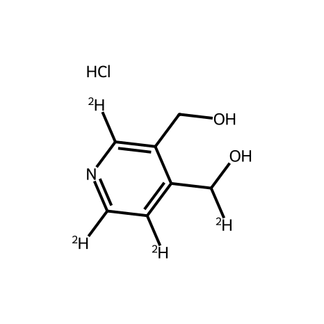 Cl.[2H]c1nc([2H])c(CO)c(C([2H])O)c1[2H]